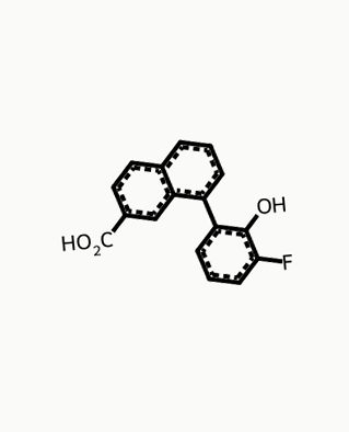 O=C(O)c1ccc2cccc(-c3cccc(F)c3O)c2c1